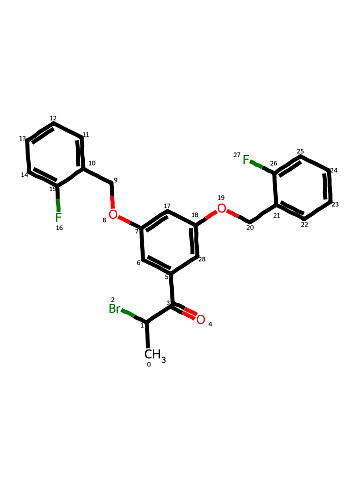 CC(Br)C(=O)c1cc(OCc2ccccc2F)cc(OCc2ccccc2F)c1